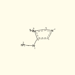 CCC[N]c1cnc[nH]1